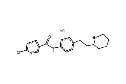 Cl.O=C(Nc1ccc(CCC2CCCCN2)cc1)c1ccc(Cl)nc1